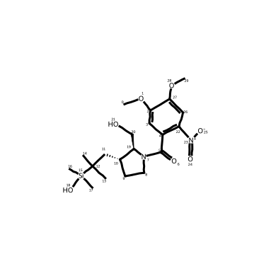 COc1cc(C(=O)N2CC[C@H](CC(C)(C)[Si](C)(C)O)[C@H]2CO)c([N+](=O)[O-])cc1OC